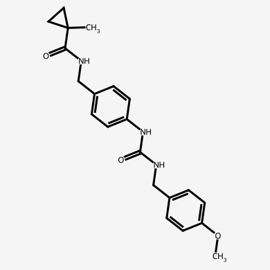 COc1ccc(CNC(=O)Nc2ccc(CNC(=O)C3(C)CC3)cc2)cc1